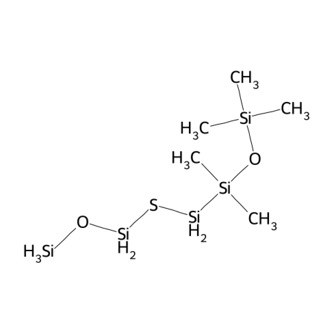 C[Si](C)(C)O[Si](C)(C)[SiH2]S[SiH2]O[SiH3]